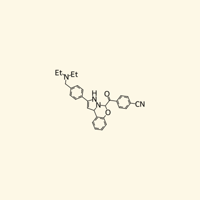 CCN(CC)Cc1ccc(C2=CC3c4ccccc4OC(C(=O)c4ccc(C#N)cc4)N3N2)cc1